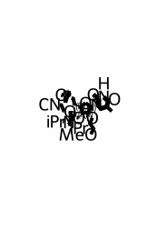 [C-]#[N+]CCOP(O[C@H]1[C@@H](OCCOC)[C@H](n2cc(C)c(=O)[nH]c2=O)O[C@@H]1CCP(C)(C)=O)N(C(C)C)C(C)C